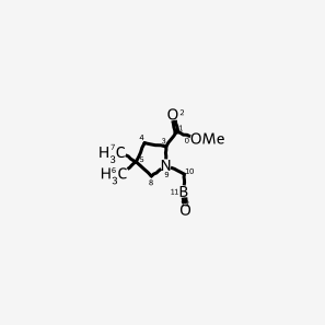 COC(=O)C1CC(C)(C)CN1CB=O